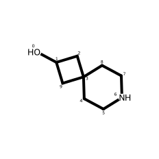 OC1CC2(CCNCC2)C1